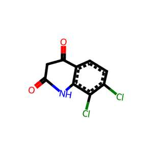 O=C1CC(=O)c2ccc(Cl)c(Cl)c2N1